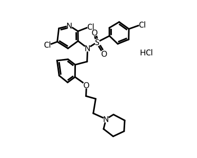 Cl.O=S(=O)(c1ccc(Cl)cc1)N(Cc1ccccc1OCCCN1CCCCC1)c1cc(Cl)cnc1Cl